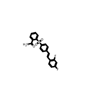 NC(=O)c1ccccc1S(=O)(=O)c1ccc(C=Cc2ccc(F)cc2F)cc1